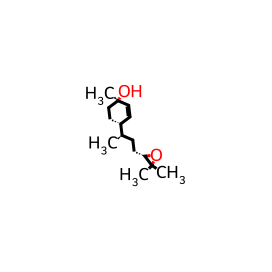 C[C@@H](CC[C@@H]1OC1(C)C)[C@H]1C=C[C@](C)(O)CC1